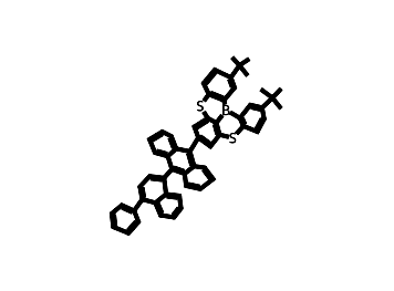 CC(C)(C)c1ccc2c(c1)B1c3cc(C(C)(C)C)ccc3Sc3cc(-c4c5ccccc5c(-c5ccc(-c6ccccc6)c6ccccc56)c5ccccc45)cc(c31)S2